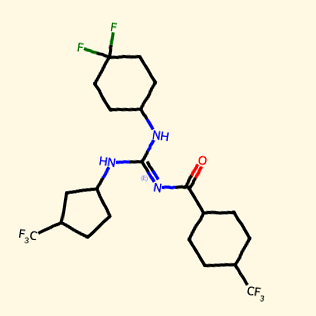 O=C(/N=C(\NC1CCC(F)(F)CC1)NC1CCC(C(F)(F)F)C1)C1CCC(C(F)(F)F)CC1